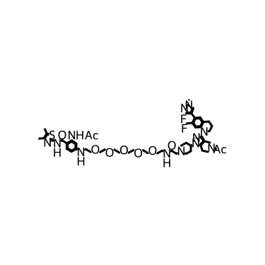 CC(=O)Nc1cc(NCCOCCOCCOCCOCCOCCNC(=O)CN2CCC(n3nc(N4CCCc5cc(-c6cnn(C)c6)c(C(F)F)cc54)c4c3CCN(C(C)=O)C4)CC2)ccc1C(=O)Nc1nc(C)c(C)s1